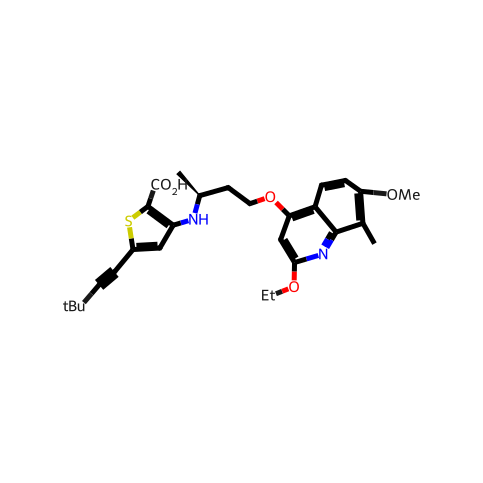 CCOc1cc(OCC[C@H](C)Nc2cc(C#CC(C)(C)C)sc2C(=O)O)c2ccc(OC)c(C)c2n1